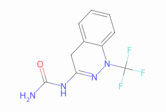 NC(=O)NC1=NN(C(F)(F)F)c2ccccc2C1